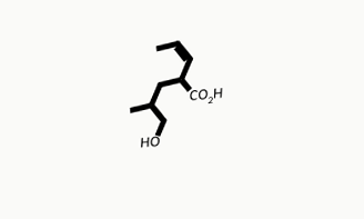 C/C=C\C(CC(C)CO)C(=O)O